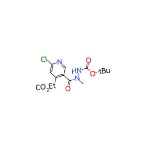 CCOC(=O)c1cc(Cl)ncc1C(=O)N(C)NC(=O)OC(C)(C)C